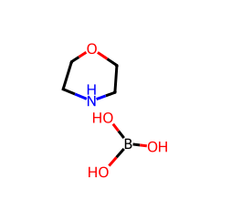 C1COCCN1.OB(O)O